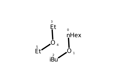 CCCCCCOC(C)CC.CCOCC